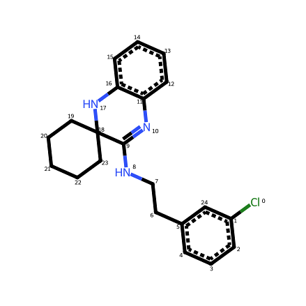 Clc1cccc(CCNC2=Nc3ccccc3NC23CCCCC3)c1